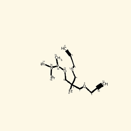 C#CCOCC(CC)(COCC#C)COP(C)N(C(C)C)C(C)C